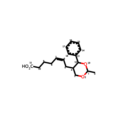 CC1OCC(C/C=C\CCCC(=O)O)C(c2ccccc2)O1